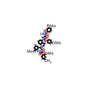 COc1ccc(S(=O)(=O)N(CC(=O)NS(=O)(=O)c2cccc(OC)c2)c2cccc3c2CCN3C(C(=O)NS(=O)(=O)c2ccc(C)cc2OC)c2cccc(OC)c2)cc1